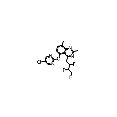 Cc1nc(CC(F)C(F)CF)c2c(Oc3ncc(Cl)cn3)ccc(C)c2n1